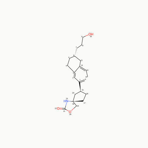 C=C(/C=C1/CC[C@H](CCCO)C/C1=C/C)[C@H]1CC[C@]2(COC(=O)N2)C1